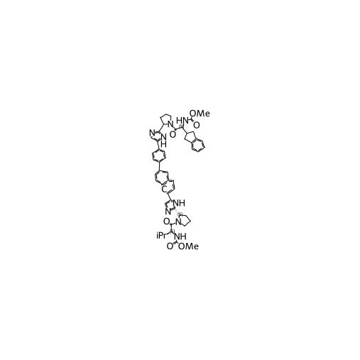 COC(=O)N[C@H](C(=O)N1CCC[C@H]1c1ncc(-c2ccc3cc(-c4ccc(-c5cnc(C6CCCN6C(=O)[C@@H](NC(=O)OC)C6Cc7ccccc7C6)[nH]5)cc4)ccc3c2)[nH]1)C(C)C